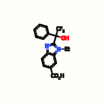 CCn1c(C(O)(c2ccccc2)C(F)(F)F)nc2ccc(C(=O)O)cc21